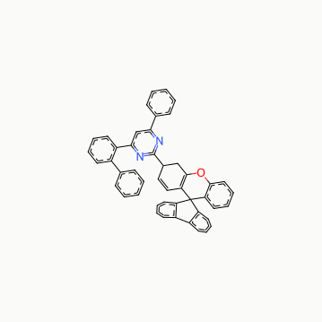 C1=CC(c2nc(-c3ccccc3)cc(-c3ccccc3-c3ccccc3)n2)CC2=C1C1(c3ccccc3O2)c2ccccc2-c2ccccc21